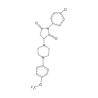 O=C1CC(N2CCN(c3ccc(OC(F)(F)F)cc3)CC2)C(=O)N1c1ccc(Cl)cc1